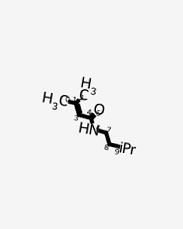 CC(C)=CC(=O)NCCC(C)C